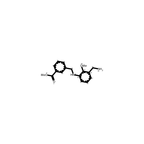 COC(=O)c1cccc(CNc2cccc(CN)c2OC)c1